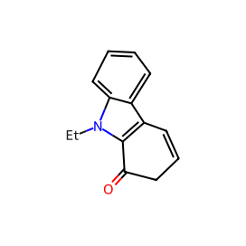 CCn1c2c(c3ccccc31)C=CCC2=O